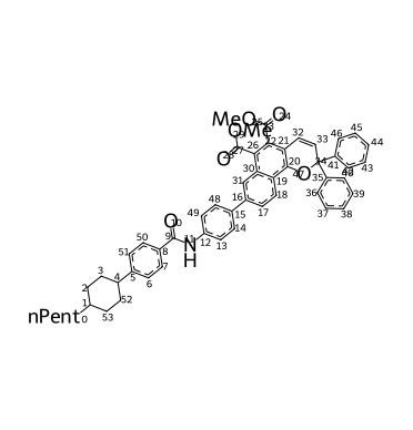 CCCCCC1CCC(c2ccc(C(=O)Nc3ccc(-c4ccc5c6c(c(C(=O)OC)c(C(=O)OC)c5c4)C=CC(c4ccccc4)(c4ccccc4)O6)cc3)cc2)CC1